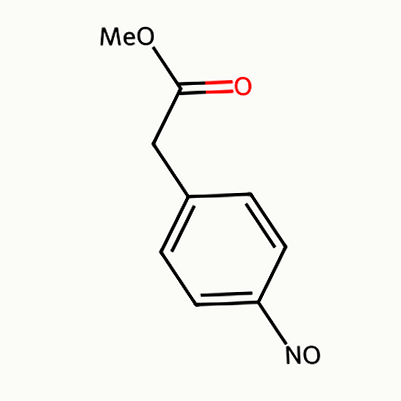 COC(=O)Cc1ccc(N=O)cc1